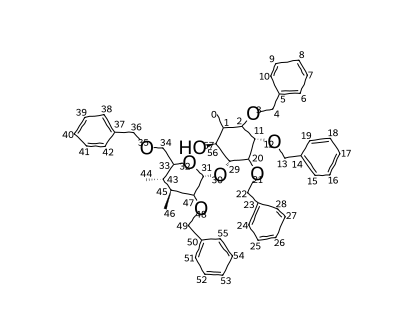 CC1C(OCc2ccccc2)[C@H](OCc2ccccc2)C(OCc2ccccc2)[C@H](O[C@H]2OC(COCc3ccccc3)[C@@H](C)[C@H](C)C2OCc2ccccc2)[C@H]1O